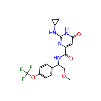 COCC(NC(=O)c1cc(=O)[nH]c(NC2CC2)n1)c1ccc(OC(F)(F)F)cc1